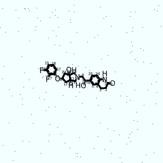 O=C1CCc2cc([C@H](O)CN3C[C@@H]4C[C@@H](Oc5cccc(F)c5F)C[C@]4(O)C3)ccc2N1